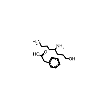 NCCCC(N)CCCO.O=C(O)Cc1ccccc1